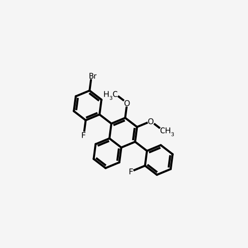 COc1c(OC)c(-c2cc(Br)ccc2F)c2ccccc2c1-c1ccccc1F